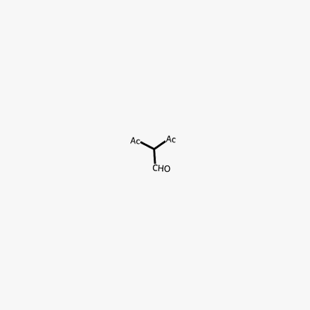 CC(=O)C(C=O)C(C)=O